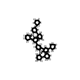 c1ccc(-c2ccc(-n3c4ccccc4c4cc(-c5ccc6c(c5)c5cc(-c7ccccc7)ccc5n6-c5ccccc5-c5ccccc5)ccc43)c(-c3ccccc3)c2)cc1